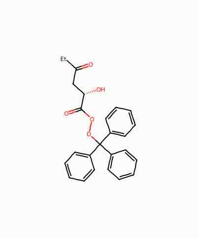 CCC(=O)C[C@H](O)C(=O)OOC(c1ccccc1)(c1ccccc1)c1ccccc1